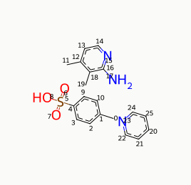 Cc1ccc(S(=O)(=O)O)cc1.Cc1ccnc(N)c1C.c1ccncc1